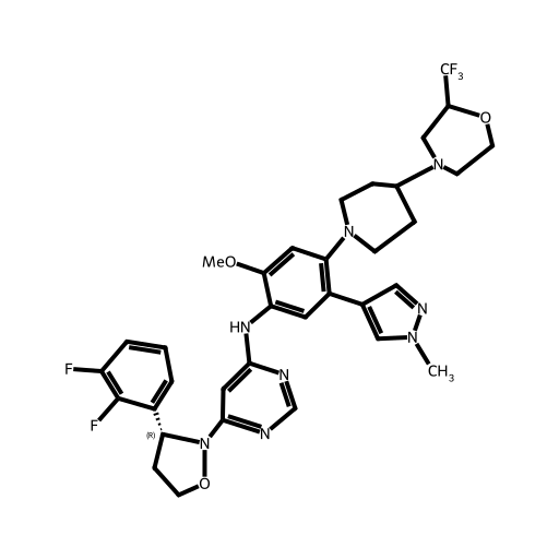 COc1cc(N2CCC(N3CCOC(C(F)(F)F)C3)CC2)c(-c2cnn(C)c2)cc1Nc1cc(N2OCC[C@@H]2c2cccc(F)c2F)ncn1